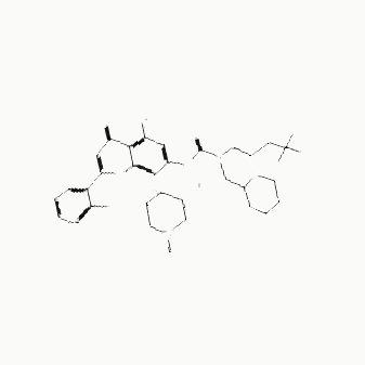 CN1CC[C@H](c2c(OC(=O)N(CCCC(F)(F)F)CC3CCCCN3)cc(O)c3c(=O)cc(-c4ccccc4Cl)oc23)[C@H](O)C1